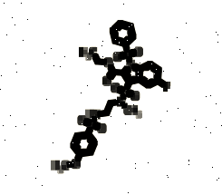 CCOC(=O)c1c(S(=O)(=O)N(C)CCNS(=O)(=O)c2ccc(OC)cc2)c2cc(F)ccc2n1S(=O)(=O)c1ccccc1